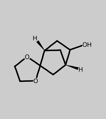 OC1C[C@@H]2C[C@H]1CC21OCCO1